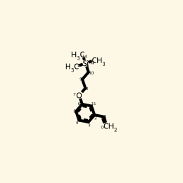 C=Cc1cccc(OCCC[Si](C)(C)C)c1